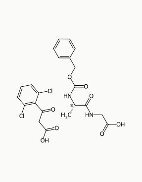 C[C@H](NC(=O)OCc1ccccc1)C(=O)NCC(=O)O.O=C(O)CC(=O)c1c(Cl)cccc1Cl